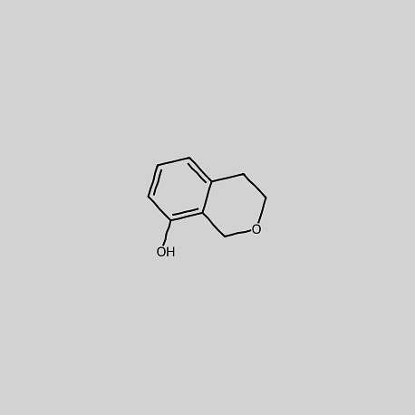 Oc1cccc2c1COCC2